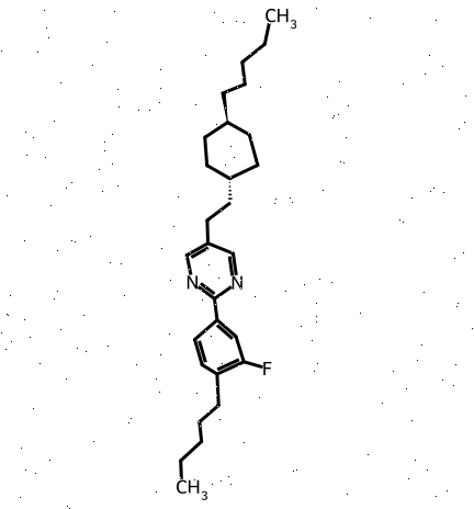 CCCCCc1ccc(-c2ncc(CC[C@H]3CC[C@H](CCCCC)CC3)cn2)cc1F